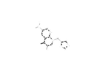 CCOC(=O)c1cn(Cc2cnco2)c2ncc(B(O)O)cc2c1=O